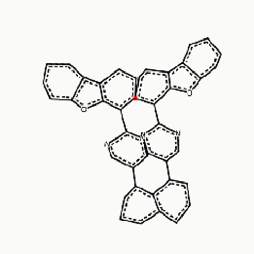 c1cc(-c2cnc(-c3cccc4c3oc3ccccc34)nc2)c2c(-c3cnc(-c4cccc5c4oc4ccccc45)nc3)cccc2c1